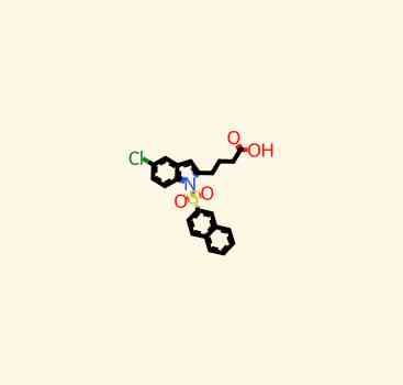 O=C(O)CCCc1cc2cc(Cl)ccc2n1S(=O)(=O)c1ccc2ccccc2c1